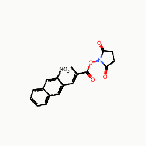 CC(=Cc1cc2ccccc2cc1[N+](=O)[O-])C(=O)ON1C(=O)CCC1=O